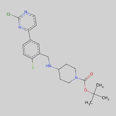 CC(C)(C)OC(=O)N1CCC(NCc2cc(-c3ccnc(Cl)n3)ccc2F)CC1